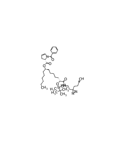 C#CCCC1(CCNC(=O)[C@@H](CCCCC[C@@H](CCCCCC)OC(=O)[C@@H]2CC=CN2C(=O)c2ccccc2)O[Si](C)(C)C(C)(C)C)N=N1